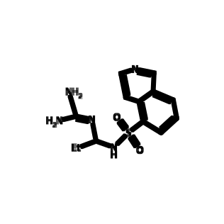 CCC(N=C(N)N)NS(=O)(=O)c1cccc2cnccc12